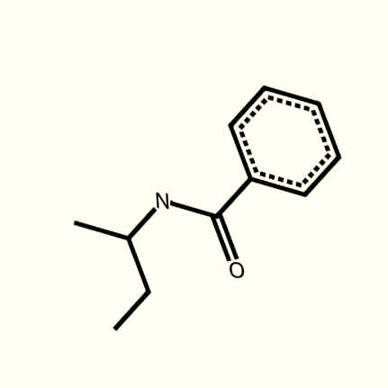 CCC(C)[N]C(=O)c1ccccc1